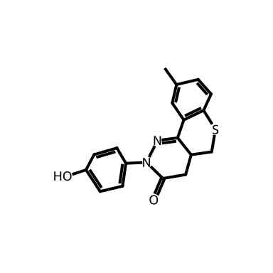 Cc1ccc2c(c1)C1=NN(c3ccc(O)cc3)C(=O)CC1CS2